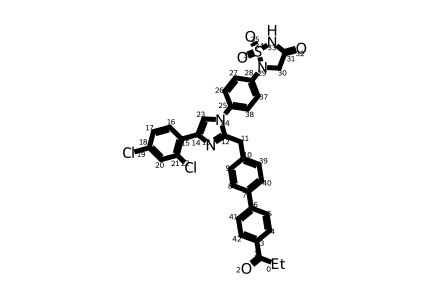 CCC(=O)c1ccc(-c2ccc(Cc3nc(-c4ccc(Cl)cc4Cl)cn3-c3ccc(N4CC(=O)NS4(=O)=O)cc3)cc2)cc1